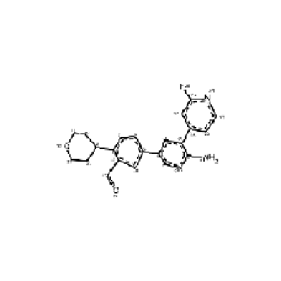 Nc1ncc(-c2ccc(C3CCOCC3)c(C=O)c2)cc1-c1ccnc(F)c1